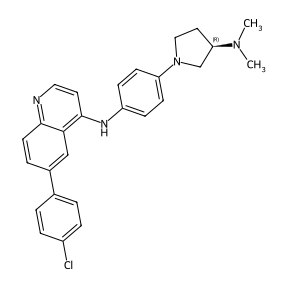 CN(C)[C@@H]1CCN(c2ccc(Nc3ccnc4ccc(-c5ccc(Cl)cc5)cc34)cc2)C1